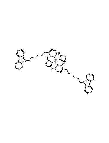 Fc1ccc(CCCCCCn2c3ccccc3c3ccccc32)c(F)[c]1[Ti]([C]1=CC=CC1)([C]1=CC=CC1)[c]1c(F)ccc(CCCCCCn2c3ccccc3c3ccccc32)c1F